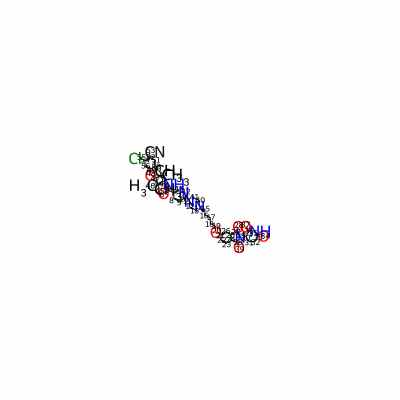 CC1(C)C(NC(=O)c2ccc(N3CCN(CCCCCOc4ccc5c(c4)C(=O)N([C@@H]4CCC(=O)NC4=O)C5=O)CC3)nc2)C(C)(C)C1Oc1ccc(C#N)c(Cl)c1